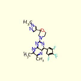 Cc1nc2nc(N3CCO[C@H](c4cnn(C)c4)C3)nc(-c3cc(F)c(F)c(F)c3)c2nc1C